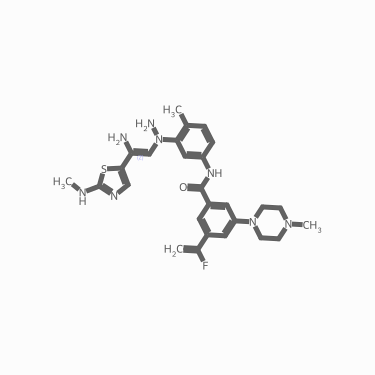 C=C(F)c1cc(C(=O)Nc2ccc(C)c(N(N)/C=C(\N)c3cnc(NC)s3)c2)cc(N2CCN(C)CC2)c1